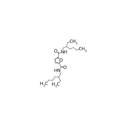 CCCCC(CC)CNC(=O)c1ccc(C(=O)NCC(CC)CCCC)o1